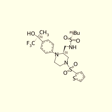 CC[C@@H](C)S(=O)(=O)NC[C@H]1CN(S(=O)(=O)c2cccs2)CCN1c1ccc([C@](C)(O)C(F)(F)F)cc1